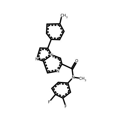 Cc1ccc(-c2cnc3cnc(C(=O)N(C)c4ccc(F)c(F)c4)cn23)cc1